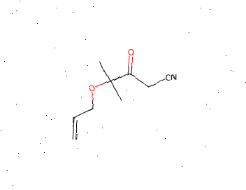 C=CCOC(C)(C)C(=O)CC#N